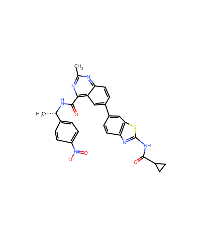 Cc1nc(C(=O)N[C@@H](C)c2ccc([N+](=O)[O-])cc2)c2cc(-c3ccc4nc(NC(=O)C5CC5)sc4c3)ccc2n1